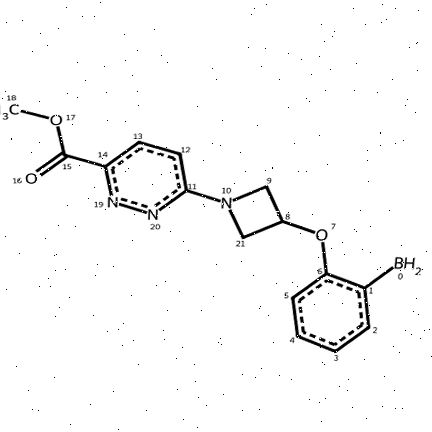 Bc1ccccc1OC1CN(c2ccc(C(=O)OC)nn2)C1